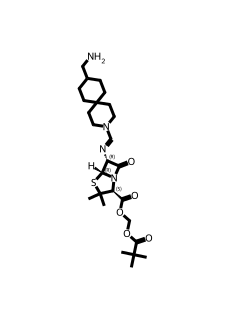 CC(C)(C)C(=O)OCOC(=O)[C@@H]1N2C(=O)[C@@H](N=CN3CCC4(CCC(CN)CC4)CC3)[C@H]2SC1(C)C